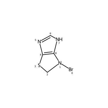 BrN1CSc2nc[nH]c21